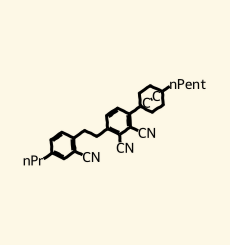 CCCCCC12CCC(c3ccc(CCc4ccc(CCC)cc4C#N)c(C#N)c3C#N)(CC1)CC2